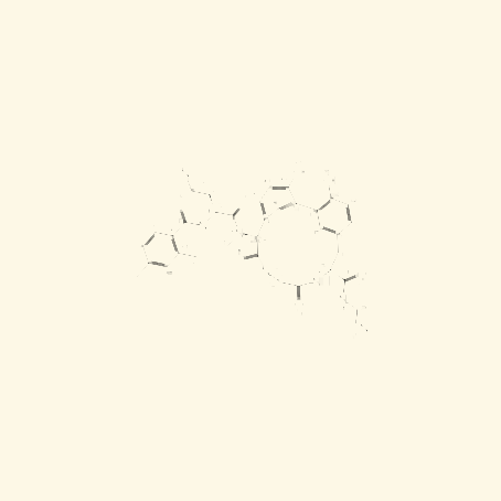 Cc1ccc(C(=O)N[C@@H](CCN)C(=O)N(C)[C@@H]2C(=O)N[C@@H](C)C(=O)N[C@H](C(=O)NCC#N)Cc3ccc(O)c(c3)-c3cc2ccc3O)c(C)c1